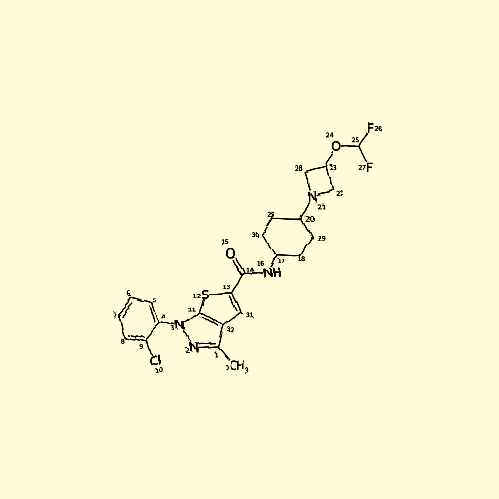 Cc1nn(-c2ccccc2Cl)c2sc(C(=O)NC3CCC(N4CC(OC(F)F)C4)CC3)cc12